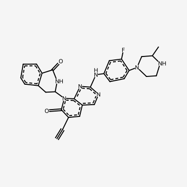 C#Cc1cc2cnc(Nc3ccc(N4CCNC(C)C4)c(F)c3)nc2n(C2Cc3ccccc3C(=O)N2)c1=O